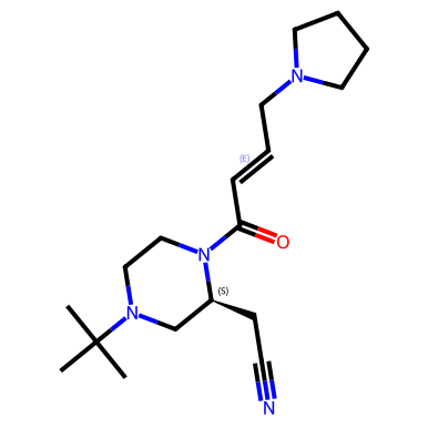 CC(C)(C)N1CCN(C(=O)/C=C/CN2CCCC2)[C@@H](CC#N)C1